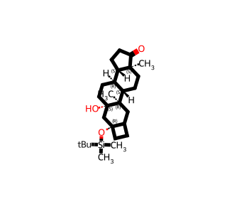 CC(C)(C)[Si](C)(C)O[C@@]12CCC1C[C@]1(C)[C@H]3CC[C@]4(C)C(=O)CC[C@H]4[C@@H]3CC[C@]1(O)C2